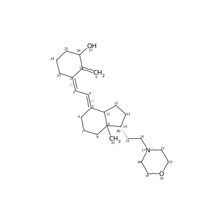 C=C1/C(=C\C=C2/CCCC3(C)C2CC[C@@H]3CCN2CCOCC2)CCCC1O